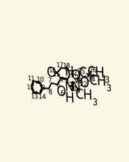 CN(NC1=C(C(=O)CCc2ccccc2)C(=O)CCC1)C(=O)OC(C)(C)C